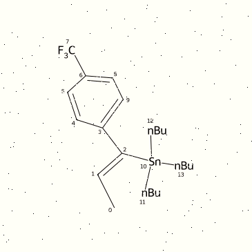 C/C=[C](/c1ccc(C(F)(F)F)cc1)[Sn]([CH2]CCC)([CH2]CCC)[CH2]CCC